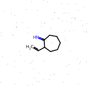 C=C[C]1CCCCCC1=N